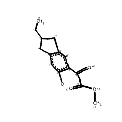 CCC1Cc2cc(Cl)c(C(=O)C(=O)OC)cc2C1